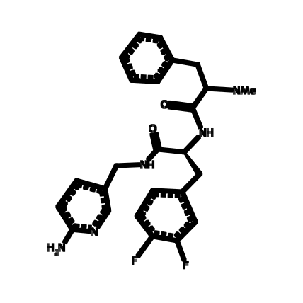 CNC(Cc1ccccc1)C(=O)N[C@@H](Cc1ccc(F)c(F)c1)C(=O)NCc1ccc(N)nc1